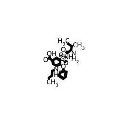 CCCCNc1cc(C(=O)O)cc(S(=O)(=O)NC(=O)[C@@H](N)[C@@H](C)CC)c1Oc1ccccc1